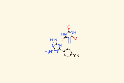 N#Cc1ccc(-c2nc(N)nc(N)n2)cc1.O=c1[nH]c(=O)[nH]c(=O)[nH]1